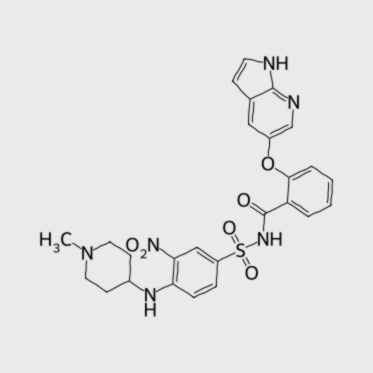 CN1CCC(Nc2ccc(S(=O)(=O)NC(=O)c3ccccc3Oc3cnc4[nH]ccc4c3)cc2[N+](=O)[O-])CC1